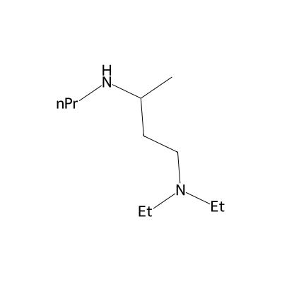 CCCNC(C)CCN(CC)CC